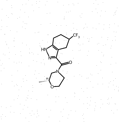 C[C@@H]1CN(C(=O)c2n[nH]c3c2CC(C(F)(F)F)CC3)CCO1